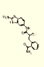 NC(=O)c1ccccc1[CH]C(O)C(=O)Nc1ccc2nc(N)[nH]c2c1